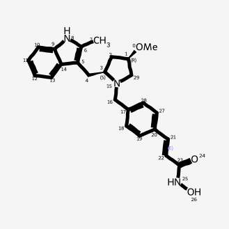 CO[C@@H]1C[C@H](Cc2c(C)[nH]c3ccccc23)N(Cc2ccc(/C=C/C(=O)NO)cc2)C1